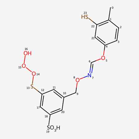 Cc1ccc(O/C=N/OCc2cc(SOOO)cc(S(=O)(=O)O)c2)cc1S